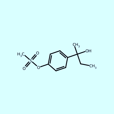 CCC(C)(O)c1ccc(OS(C)(=O)=O)cc1